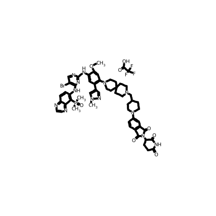 COc1cc(N2CCC3(CCN(CC4CCN(c5ccc6c(c5)C(=O)N(C5CCC(=O)NC5=O)C6=O)CC4)CC3)CC2)c(-c2cnn(C)c2)cc1Nc1ncc(Br)c(Nc2ccc3nccnc3c2P(C)(C)=O)n1.O=C(O)C(F)(F)F